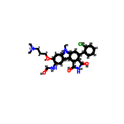 CN(C)CCCOc1cc2c(cc1NC=O)c1c3c(c(-c4ccccc4Cl)cc1n2C)C(=O)NC3=O